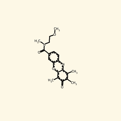 COCCN(C)C(=O)c1ccc2nc3c(C)c(C)c(=O)c(C)c-3oc2c1